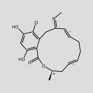 CN=C1/C=C/CC/C=C/C[C@@H](C)OC(=O)c2c(O)cc(O)c(Cl)c2C1